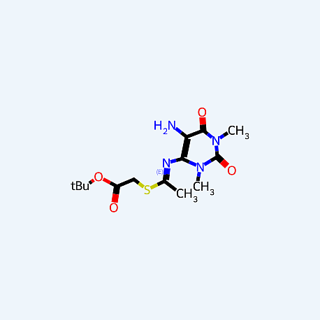 C/C(=N\c1c(N)c(=O)n(C)c(=O)n1C)SCC(=O)OC(C)(C)C